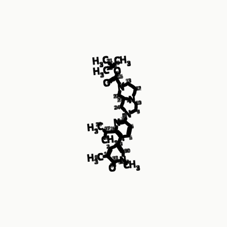 Cc1cc(-c2ccc(N3CCN4CCN(C(=O)OC(C)(C)C)CC4C3)nc2C(C)C)cn(C)c1=O